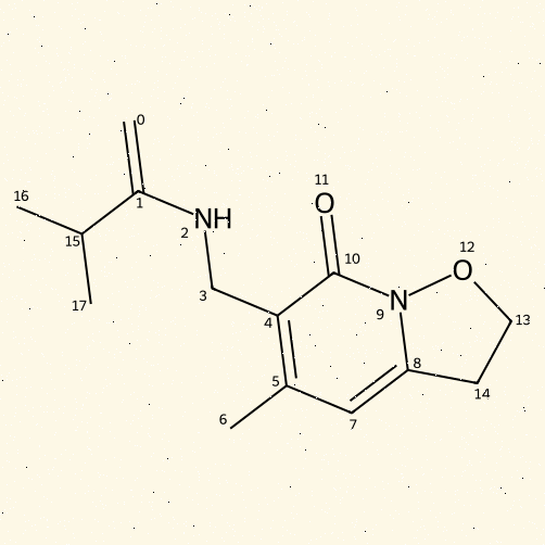 C=C(NCc1c(C)cc2n(c1=O)OCC2)C(C)C